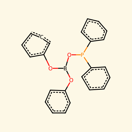 c1ccc(OB(Oc2ccccc2)OP(c2ccccc2)c2ccccc2)cc1